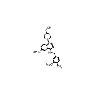 COc1cc(CNc2nnc(N3CCC(CO)CC3)c3ccc(C#N)cc23)ccc1C.Cl